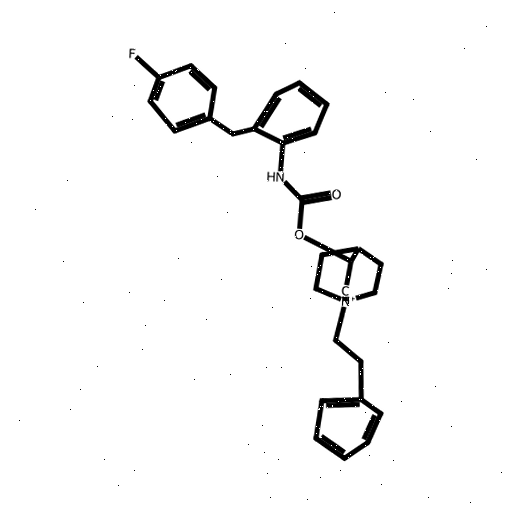 O=C(Nc1ccccc1Cc1ccc(F)cc1)OC1C[N+]2(CCc3ccccc3)CCC1CC2